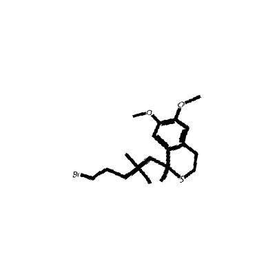 COc1cc2c(cc1OC)C(C)(CC(C)(C)CCCBr)SCC2